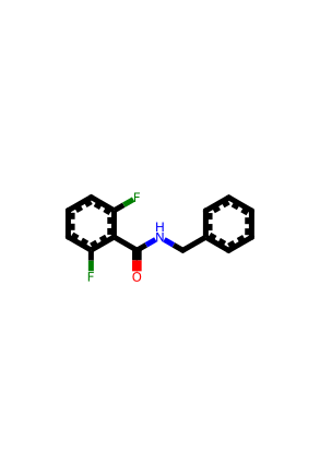 O=C(NCc1ccccc1)c1c(F)cccc1F